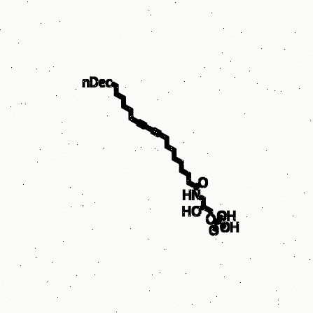 CCCCCCCCCCCCCCCCC#CC#CCCCCCCCCC(=O)NCC(O)COP(=O)(O)O